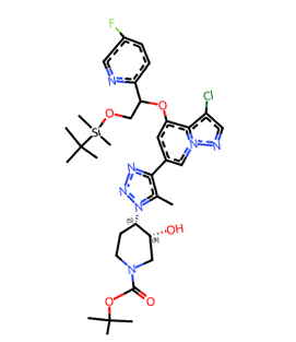 Cc1c(-c2cc(OC(CO[Si](C)(C)C(C)(C)C)c3ccc(F)cn3)c3c(Cl)cnn3c2)nnn1[C@H]1CCN(C(=O)OC(C)(C)C)C[C@H]1O